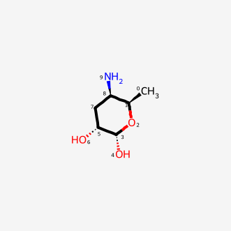 C[C@H]1O[C@H](O)[C@H](O)C[C@H]1N